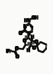 CC(C)C(=O)OCC1O[C@@H](n2ccc(NO)nc2=O)[C@@H]2OC3(CCCCC3)O[C@H]12